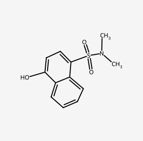 CN(C)S(=O)(=O)c1ccc(O)c2ccccc12